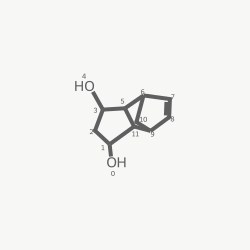 OC1CC(O)C2C3C=CC(C3)C12